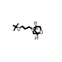 CC(C)(C)OCCCN1C[C@@H]2C[C@H]1CO2